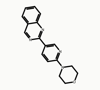 c1ccc2nc(-c3ccc(N4CCOCC4)nc3)ncc2c1